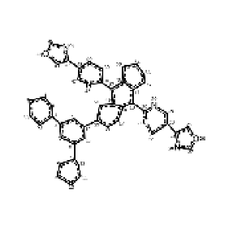 c1ccc(-c2cc(-c3ccccc3)cc(-c3ccc4c(-c5ccc(-c6cocn6)cn5)c5ccccc5c(-c5ccc(-c6cocn6)cn5)c4c3)c2)cc1